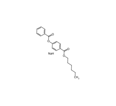 CCCCCCOC(=O)c1ccc(OC(=O)c2ccccc2)cc1.[NaH]